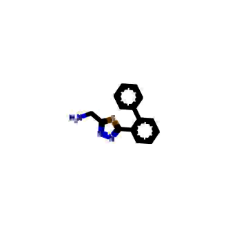 NCc1nnc(-c2ccccc2-c2ccccc2)s1